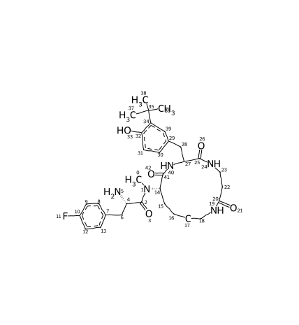 CN(C(=O)[C@@H](N)Cc1ccc(F)cc1)[C@H]1CCCCNC(=O)CCNC(=O)C(Cc2ccc(O)c(C(C)(C)C)c2)NC1=O